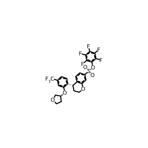 O=S(=O)(Oc1c(F)c(F)c(F)c(F)c1F)c1ccc2c(c1)OCC[C@@H]2c1ccc(C(F)(F)F)cc1O[C@H]1CCOC1